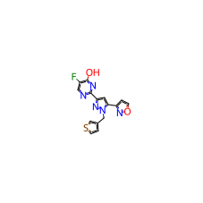 Oc1nc(-c2cc(-c3ccon3)n(Cc3ccsc3)n2)ncc1F